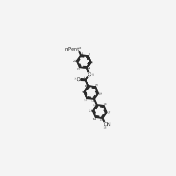 CCCCCc1ccc(OC(=O)c2ccc(-c3ccc(C#N)cc3)cc2)cc1